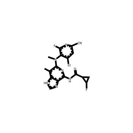 CCc1cc(C#N)nc(F)c1N(C)c1nc(NC(=O)C2CC2F)c2nc[nH]c2c1C